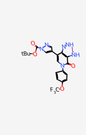 CC(C)(C)OC(=O)n1cc(-c2cn(-c3ccc(OC(F)(F)F)cc3)c(=O)c(NI)c2N=N)cn1